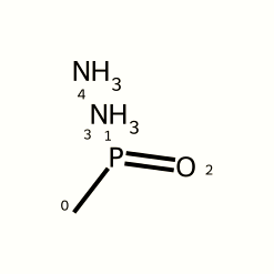 CP=O.N.N